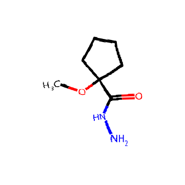 COC1(C(=O)NN)CCCC1